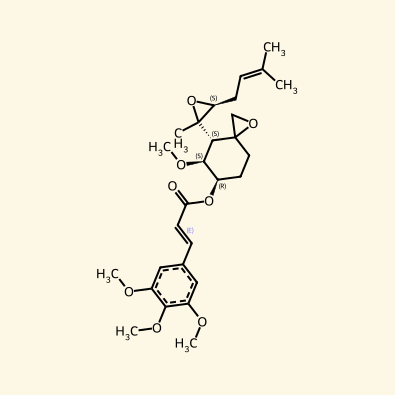 COc1cc(/C=C/C(=O)O[C@@H]2CCC3(CO3)[C@@H](C3(C)O[C@H]3CC=C(C)C)[C@@H]2OC)cc(OC)c1OC